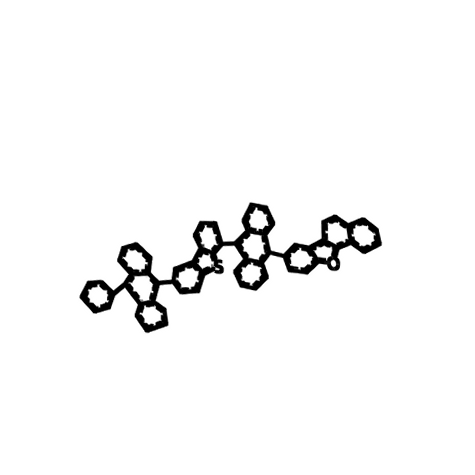 c1ccc(-c2c3ccccc3c(-c3ccc4sc5c(-c6c7ccccc7c(-c7ccc8oc9c%10ccccc%10ccc9c8c7)c7ccccc67)cccc5c4c3)c3ccccc23)cc1